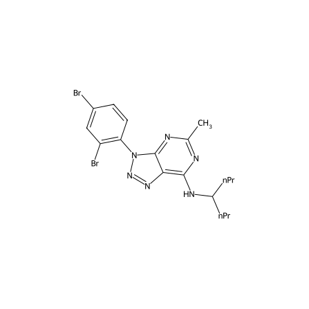 CCCC(CCC)Nc1nc(C)nc2c1nnn2-c1ccc(Br)cc1Br